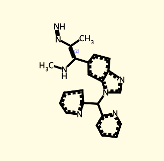 CN/C(=C(/C)N=N)c1ccc2ncn(C(c3ccccn3)c3ccccn3)c2c1